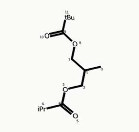 CC(COC(=O)C(C)C)COC(=O)C(C)(C)C